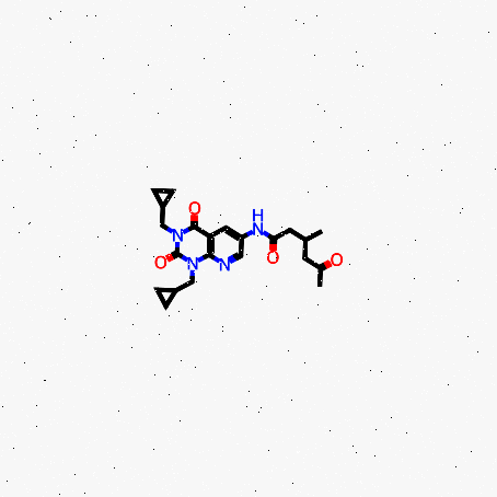 CC(=O)CC(C)CC(=O)Nc1cnc2c(c1)c(=O)n(CC1CC1)c(=O)n2CC1CC1